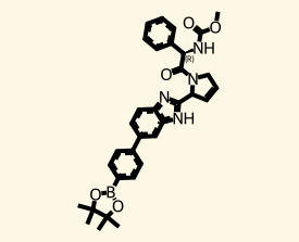 COC(=O)N[C@@H](C(=O)N1CC=CC1c1nc2ccc(-c3ccc(B4OC(C)(C)C(C)(C)O4)cc3)cc2[nH]1)c1ccccc1